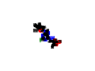 C#C[C@]1(CC)O[C@@H](n2cnc3c(NCc4oc(=O)oc4C)nc(F)nc32)C[C@@H]1C